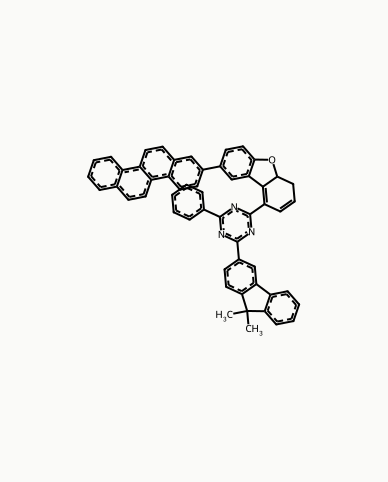 CC1(C)c2ccccc2-c2cc(-c3nc(C4=C5c6cc(-c7ccc8c(ccc9c%10ccccc%10ccc89)c7)ccc6OC5CC=C4)nc(-c4ccccc4)n3)ccc21